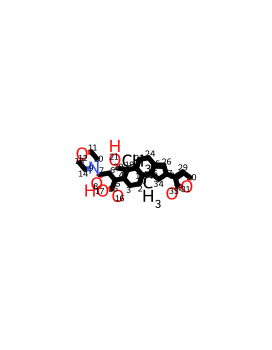 CC12CCC(C(CC(=O)N3CCOCC3)C(=O)O)C(C)(CO)C1CCC1=CC(C3=CCOC3=O)CC12